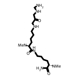 CN[C@@H](CCCCNC(=O)[C@H](CCCCNCC(=O)CNCN)NC)C(N)=O